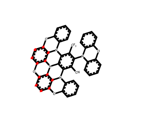 N#Cc1c(N2c3ccccc3Oc3ccccc32)c(N2c3ccccc3Oc3ccccc32)c(N2c3ccccc3Oc3ccccc32)c(C(F)(F)F)c1N1c2ccccc2Oc2ccccc21